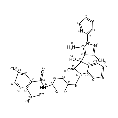 Cc1nn(-c2ccccn2)c(N)c1C1(O)C(=O)N(CC2CCC(NC(=O)c3cc(Cl)cnc3C(F)F)CC2)c2ccccc21